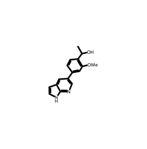 COc1cc(-c2cnc3[nH]ccc3c2)ccc1C(C)O